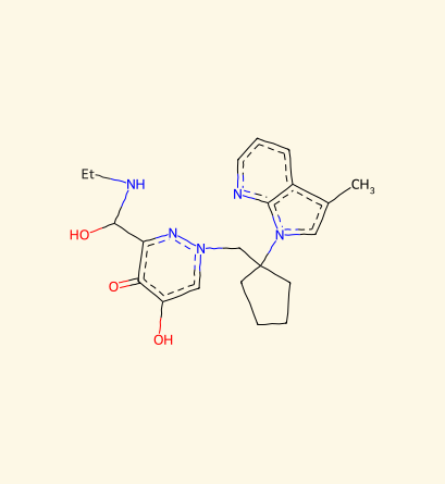 CCNC(O)c1nn(CC2(n3cc(C)c4cccnc43)CCCC2)cc(O)c1=O